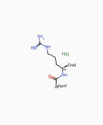 CCCCCC(=O)N[C@H](C=O)CCCNC(=N)N.Cl